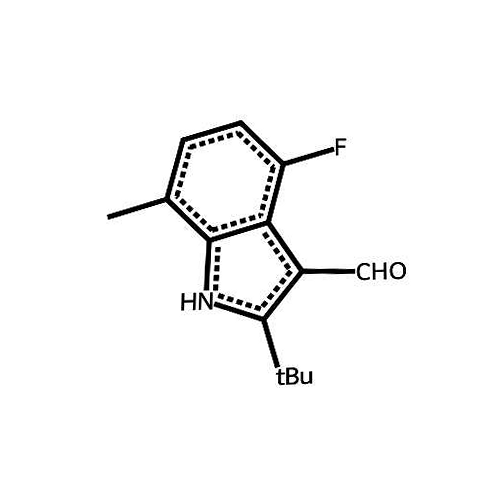 Cc1ccc(F)c2c(C=O)c(C(C)(C)C)[nH]c12